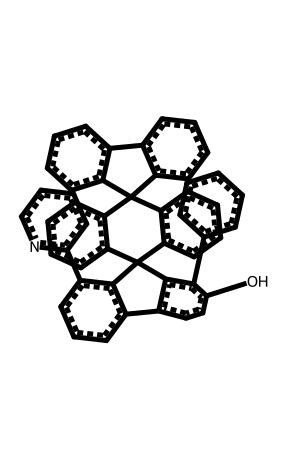 Oc1ccc2c(c1-c1ccccc1)C1(c3ccccc3C3(c4ccccc4-c4ccccc43)c3ccccc31)c1c(-c3ccccn3)cccc1-2